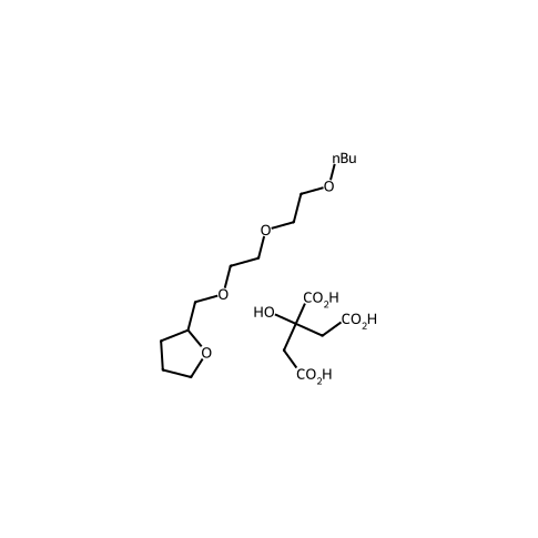 CCCCOCCOCCOCC1CCCO1.O=C(O)CC(O)(CC(=O)O)C(=O)O